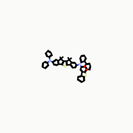 CC1(C)c2cc(N(c3ccccc3)c3ccccc3)ccc2-c2sc3c(c21)C(C)(C)c1cc(N(c2ccc4sc5ccccc5c4c2)c2ccccc2-c2ccccc2)ccc1-3